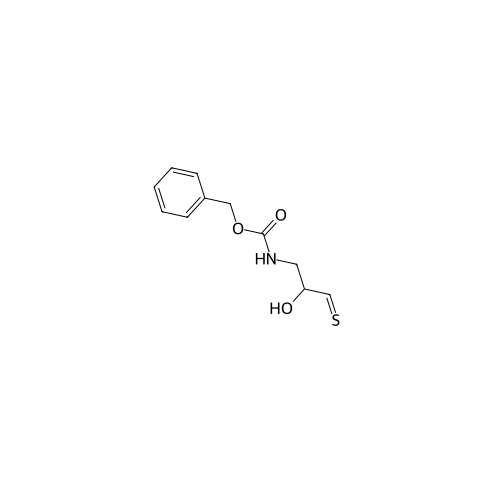 O=C(NCC(O)C=S)OCc1ccccc1